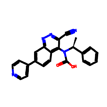 C[C@H](c1ccccc1)N(C(=O)O)c1c(C#N)nnc2cc(-c3ccncc3)ccc12